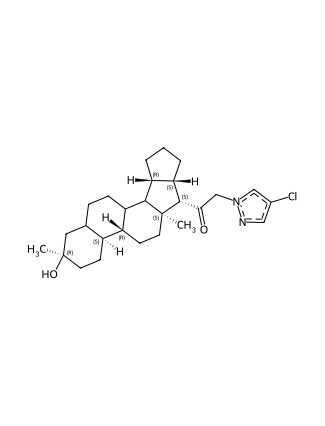 C[C@@]1(O)CC[C@H]2C(CCC3C4[C@@H]5CCC[C@@H]5[C@H](C(=O)Cn5cc(Cl)cn5)[C@@]4(C)CC[C@@H]32)C1